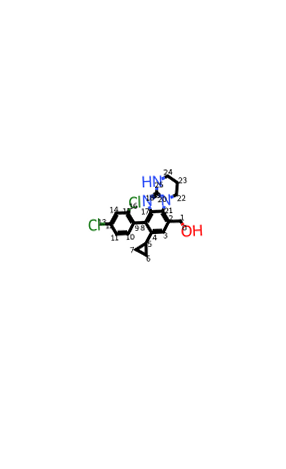 OCc1cc(C2CC2)c(-c2ccc(Cl)cc2Cl)c2nc3n(c12)CCCN3